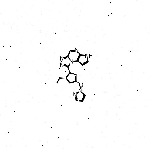 CC[C@@H]1C[C@@H](On2cccn2)C[C@@H]1c1nnc2cnc3[nH]ccc3n12